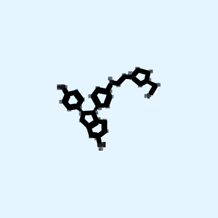 Oc1ccc([C@H]2Cc3cc(O)ccc3[C@H]2c2ccc(OCCN3CC[C@@H](CF)C3)cc2)cc1